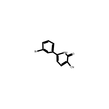 N#Cc1ccc(-c2cccc(Br)c2)[nH]c1=O